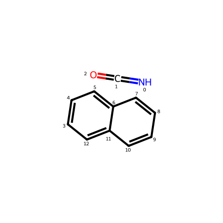 N=C=O.c1ccc2ccccc2c1